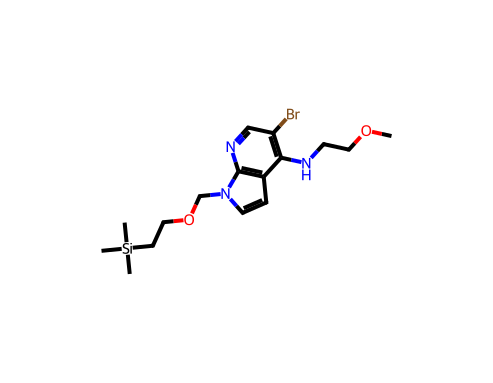 COCCNc1c(Br)cnc2c1ccn2COCC[Si](C)(C)C